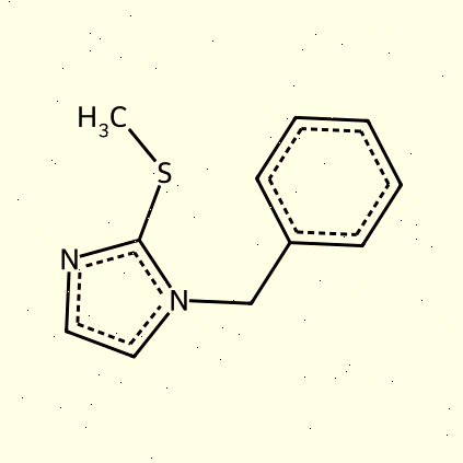 CSc1nccn1Cc1ccccc1